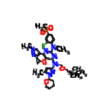 Cc1cc(N(COCC[Si](C)(C)C)c2nc(N(C)c3ccc(S(C)(=O)=O)cc3F)nc(-c3cnn(C)c3)c2OC2CC2)nn1C1CCCCO1